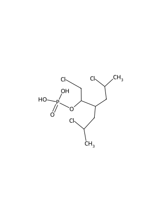 CC(Cl)CC(CC(C)Cl)C(CCl)OP(=O)(O)O